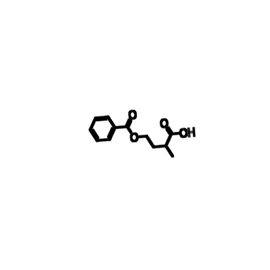 CC(CCOC(=O)c1ccccc1)C(=O)O